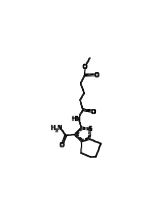 COC(=O)CCCC(=O)Nc1sc2c(c1C(N)=O)CCCC2